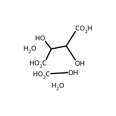 O.O.O=C(O)C(O)C(O)C(=O)O.O=C(O)O